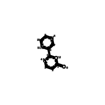 O=c1ccnc(-c2cnccn2)o1